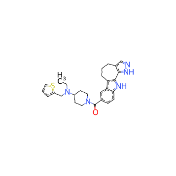 CCN(Cc1cccs1)C1CCN(C(=O)c2ccc3[nH]c4c(c3c2)CCCc2cn[nH]c2-4)CC1